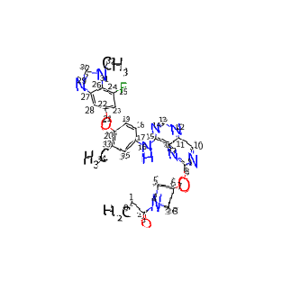 C=CC(=O)N1CC(Oc2ncc3ncnc(Nc4ccc(Oc5cc(F)c6c(c5)ncn6C)c(C)c4)c3n2)C1